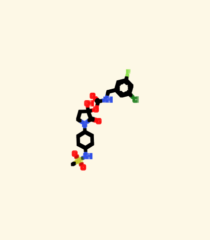 CS(=O)(=O)NC1CCC(N2CCC(O)(OC(=O)NCc3cc(F)cc(Cl)c3)C2=O)CC1